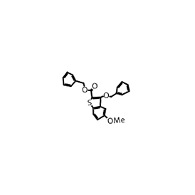 COc1ccc2sc(C(=O)OCc3ccccc3)c(OCc3ccccc3)c2c1